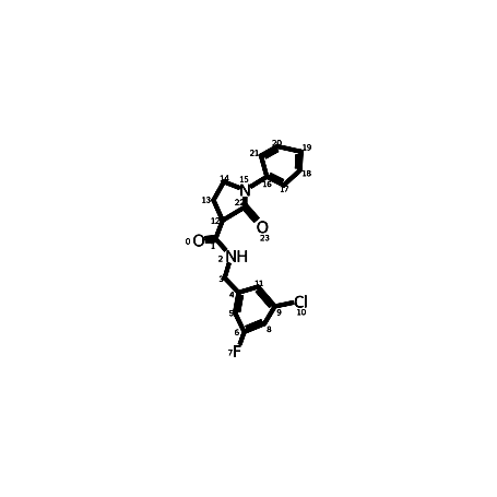 O=C(NCc1cc(F)cc(Cl)c1)C1CCN(c2ccccc2)C1=O